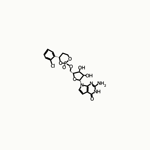 Nc1nc2c(ccn2[C@@H]2O[C@H](COP3(=O)OCC[C@@H](c4ccccc4Cl)O3)[C@@H](O)[C@H]2O)c(=O)[nH]1